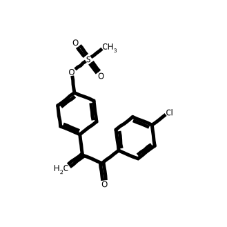 C=C(C(=O)c1ccc(Cl)cc1)c1ccc(OS(C)(=O)=O)cc1